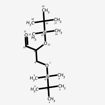 CC(C)(C)[Si](C)(C)OCC(C=O)O[Si](C)(C)C(C)(C)C